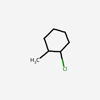 CC1CCCCC1Cl